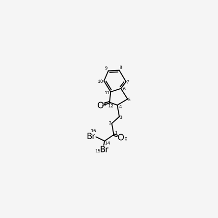 O=C(CCC1Cc2ccccc2C1=O)C(Br)Br